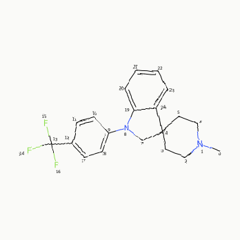 CN1CCC2(CC1)CN(c1ccc(C(F)(F)F)cc1)c1ccccc12